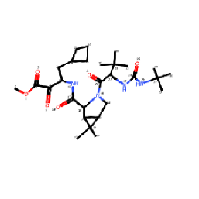 COC(=O)C(=O)C(CC1CCC1)NC(=O)C1C2C(CN1C(=O)C(NC(=O)NC(C)(C)C)C(C)(C)C)C2(C)C